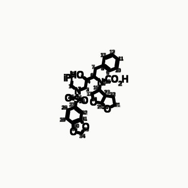 CC(C)CN(CC(O)C(Cc1ccccc1)N(C(=O)O)C1COC2OCCC21)S(=O)(=O)c1ccc2c(c1)OCO2